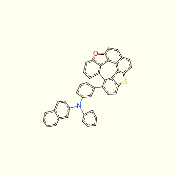 c1ccc(N(c2cccc(-c3ccc4sc5ccc6ccc7oc8cccc9c8c7c6c5c4c3-9)c2)c2ccc3ccccc3c2)cc1